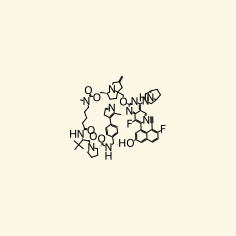 C#Cc1c(F)ccc2cc(O)cc(-c3ncc4c(N5CC6CCC(C5)N6)nc(OCC56CC[C@@H](COC(=O)N(C)CCCCC(=O)N[C@H](C(=O)N7CCC[C@H]7C(=O)N[C@@H](C)c7ccc(C8=C(C)N=CC8)cc7)C(C)(C)C)N5CC(=C)C6)nc4c3F)c12